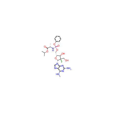 CNc1nc(N)nc2c1ncn2[C@@H]1O[C@H](CO[P@@](=O)(N[C@@H](C)C(=O)OC(C)C)Oc2ccccc2)[C@@H](O)[C@]1(F)CO